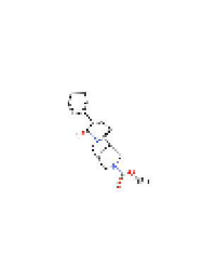 CC(C)(C)OC(=O)N1CC2CC(C1)c1ccc(-c3ccccc3)c(=O)n1C2